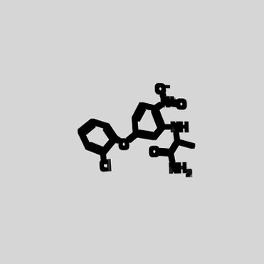 CC(Nc1cc(Oc2ccccc2Cl)ccc1[N+](=O)[O-])C(N)=O